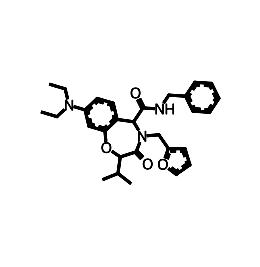 CCN(CC)c1ccc2c(c1)OC(C(C)C)C(=O)N(Cc1ccco1)C2C(=O)NCc1ccccc1